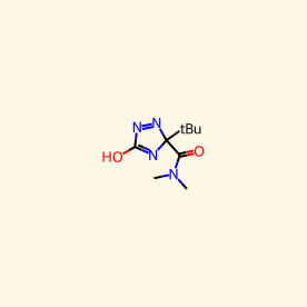 CN(C)C(=O)C1(C(C)(C)C)N=NC(O)=N1